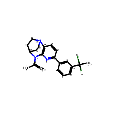 C=C(C)N1c2nc(-c3cccc(C(C)(F)F)c3)ccc2N2CCC1CC2